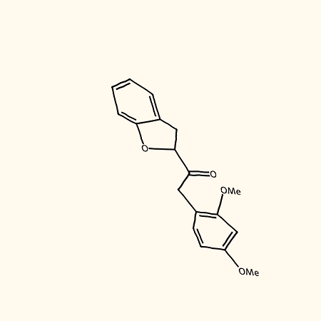 COc1ccc(CC(=O)C2Cc3ccccc3O2)c(OC)c1